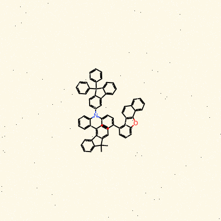 CC1(C)c2ccccc2-c2c(-c3ccccc3N(c3ccc(-c4cccc5oc6c7ccccc7ccc6c45)cc3)c3ccc4c(c3)-c3ccccc3C4(c3ccccc3)c3ccccc3)cccc21